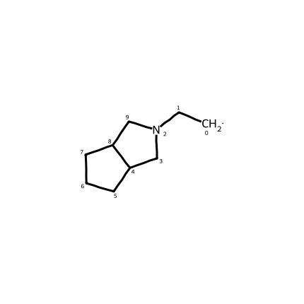 [CH2]CN1CC2CCCC2C1